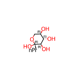 CCC[C@@]1(O)OC[C@@H](O)[C@H](O)[C@H]1O